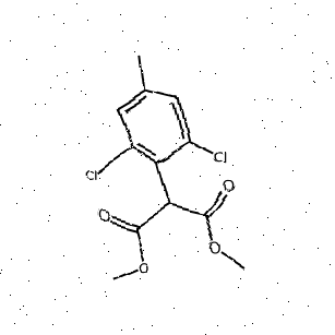 COC(=O)C(C(=O)OC)c1c(Cl)cc(C)cc1Cl